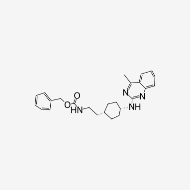 Cc1nc(N[C@H]2CC[C@@H](CCNC(=O)OCc3ccccc3)CC2)nc2ccccc12